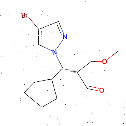 COCC(C=O)[C@H](C1CCCC1)n1cc(Br)cn1